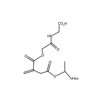 C=C(CC(=O)OC(C)CCCCCC)C(=O)OCC(=O)NCC(=O)O